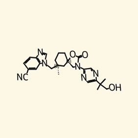 CC(C)(CO)c1cnc(N2C[C@@]3(CCC[C@](C)(Cn4cnc5ccc(C#N)cc54)C3)OC2=O)cn1